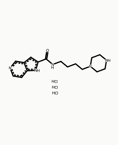 Cl.Cl.Cl.O=C(NCCCCN1CCNCC1)c1cc2cnccc2[nH]1